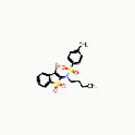 CCCCN(C1=C(Br)c2ccccc2S1(=O)=O)S(=O)(=O)c1ccc(C)cc1